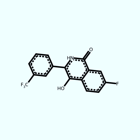 O=c1[nH]c(-c2cccc(C(F)(F)F)c2)c(O)c2ccc(F)cc12